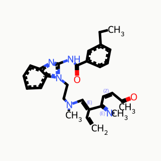 C=CC(=C\N(C)CCn1c(NC(=O)c2cccc(CC)c2)nc2ccccc21)/C(/C=C\C(C)=O)=N/C